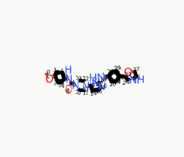 COc1ccc(NC(=O)N2CCN(c3ccnc(Nc4ccc(C5CNCCO5)cc4)n3)CC2)cc1